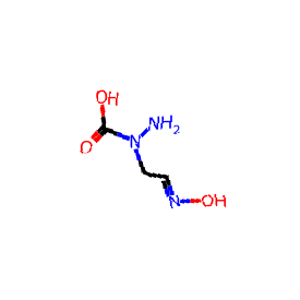 NN(CC=NO)C(=O)O